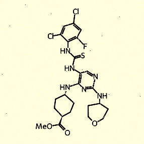 COC(=O)[C@H]1CC[C@H](Nc2nc(NC3CCOCC3)ncc2NC(=S)Nc2c(F)cc(Cl)cc2Cl)CC1